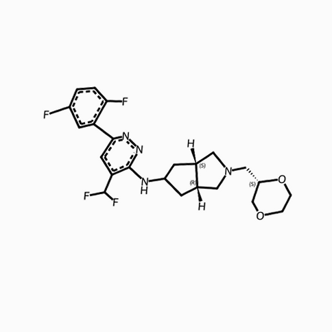 Fc1ccc(F)c(-c2cc(C(F)F)c(NC3C[C@@H]4CN(C[C@H]5COCCO5)C[C@@H]4C3)nn2)c1